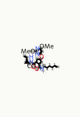 C=CCCCCN(C)C(=O)C1CC(Oc2cc(OC)nc(OC)n2)CC1C(=O)NC1(C(=O)OCC)CC1C=C